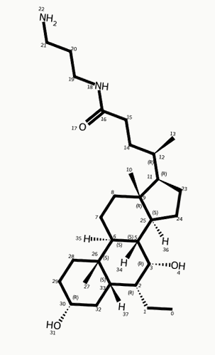 CC[C@H]1[C@@H](O)[C@@H]2[C@H](CC[C@]3(C)[C@@H]([C@H](C)CCC(=O)NCCCN)CC[C@@H]23)[C@@]2(C)CC[C@@H](O)C[C@@H]12